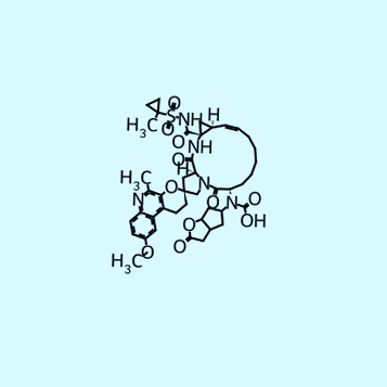 COc1ccc2nc(C)c3c(c2c1)CC[C@]1(C[C@H]2C(=O)N[C@]4(C(=O)NS(=O)(=O)C5(C)CC5)C[C@H]4/C=C\CCCCC[C@H](N(C(=O)O)C4CC5CC(=O)OC5C4)C(=O)N2C1)O3